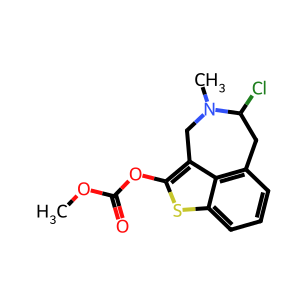 COC(=O)Oc1sc2cccc3c2c1CN(C)C(Cl)C3